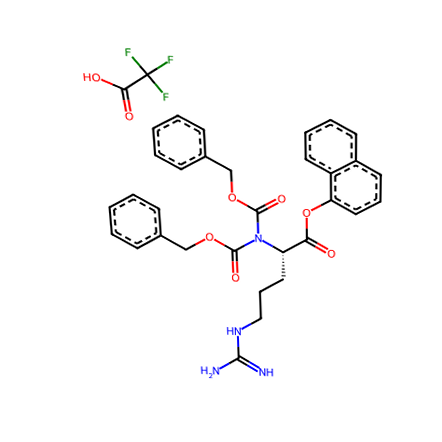 N=C(N)NCCC[C@@H](C(=O)Oc1cccc2ccccc12)N(C(=O)OCc1ccccc1)C(=O)OCc1ccccc1.O=C(O)C(F)(F)F